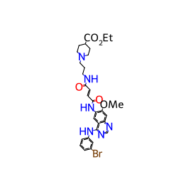 CCOC(=O)C1CCN(CCCNC(=O)C=CC(=O)Nc2cc3c(Nc4cccc(Br)c4)ncnc3cc2OC)CC1